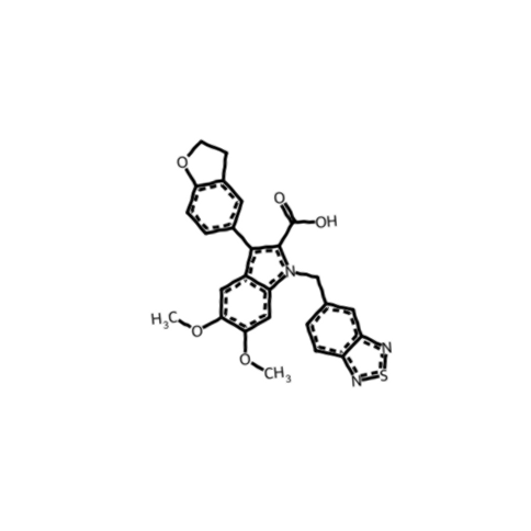 COc1cc2c(-c3ccc4c(c3)CCO4)c(C(=O)O)n(Cc3ccc4nsnc4c3)c2cc1OC